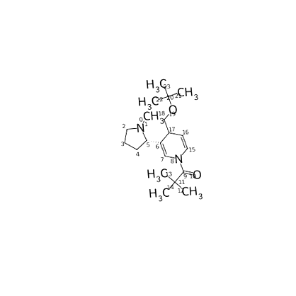 CN1CCC[C@H]1C1=CN(C(=O)C(C)(C)C)C=CC1COC(C)(C)C